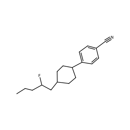 CCCC(F)CC1CCC(c2ccc(C#N)cc2)CC1